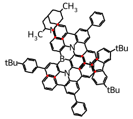 CC1CC2CC(C)N(c3ccc4c(c3)N(c3c(-c5ccccc5)cc(-c5ccccc5)cc3-c3ccccc3)c3cc(-n5c6ccc(C(C)(C)C)cc6c6cc(C(C)(C)C)ccc65)cc5c3B4c3cc(-c4ccc(C(C)(C)C)cc4)ccc3N5c3c(-c4ccccc4)cc(-c4ccccc4)cc3-c3ccccc3)C(C1)C2